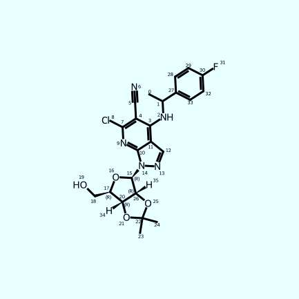 CC(Nc1c(C#N)c(Cl)nc2c1cnn2[C@@H]1O[C@H](CO)[C@H]2OC(C)(C)O[C@H]21)c1ccc(F)cc1